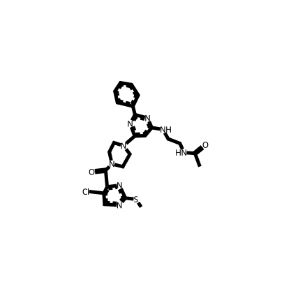 CSc1ncc(Cl)c(C(=O)N2CCN(c3cc(NCCNC(C)=O)nc(-c4ccccc4)n3)CC2)n1